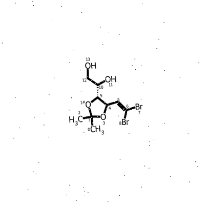 CC1(C)OC(C=C(Br)Br)[C@@H](C(O)CO)O1